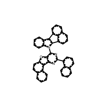 c1ccc2c(-c3nc(-n4c5c(c6ccccc64)-c4cccc6cccc-5c46)c4oc5ccc6ccccc6c5c4n3)cccc2c1